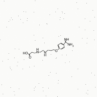 N=C(N)c1ccc(OCCCNCCNCCC(=O)O)cc1